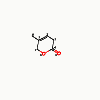 CC1=CCC(=O)OC1